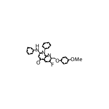 COc1ccc(OCc2nc3c(cc2F)c(=O)cc(Nc2ccccc2)n3-c2ccccc2)cc1